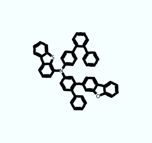 c1ccc(-c2ccccc2-c2ccc(N(c3ccc(-c4ccccc4)c(-c4ccc5c(c4)oc4ccccc45)c3)c3cccc4c3sc3ccccc34)cc2)cc1